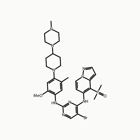 COc1cc(N2CCC(N3CCN(C)CC3)CC2)c(C)cc1Nc1ncc(Br)c(Nc2ccn3nccc3c2P(C)(C)=O)n1